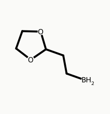 BCCC1OCCO1